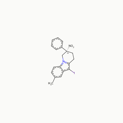 Cc1ccc2c(c1)c(I)c1n2C[C@](c2ccccc2)([N+](=O)[O-])CC1